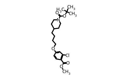 COC(=O)c1ccc(OCCCCC2CCN(C(=O)OC(C)(C)C)CC2)cc1Cl